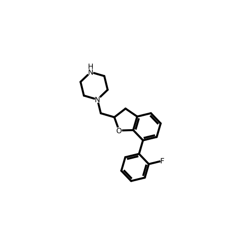 Fc1ccccc1-c1cccc2c1OC(CN1CCNCC1)C2